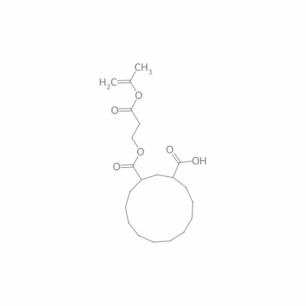 C=C(C)OC(=O)CCOC(=O)C1CCCCCCCCCCC(C(=O)O)C1